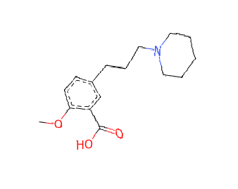 COc1ccc(CCCN2CCCCC2)cc1C(=O)O